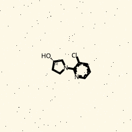 O[C@H]1CCN(c2ncc[c]c2Cl)C1